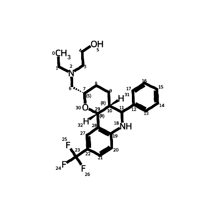 CCN(CCO)C[C@@H]1CC[C@@H]2C(c3ccccc3)Nc3ccc(C(F)(F)F)cc3[C@@H]2O1